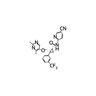 Cc1ncc(OC[C@@]2(c3cccc(C(F)(F)F)c3)C[C@H]2C(=O)Nc2ccc(C#N)cn2)c(C)n1